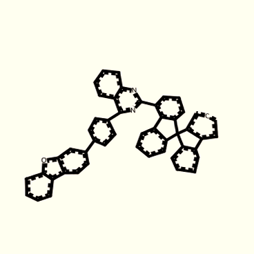 c1ccc2c(c1)-c1ccccc1C21c2ccccc2-c2c(-c3nc(-c4ccc(-c5ccc6c(c5)oc5ccccc56)cc4)c4ccccc4n3)cccc21